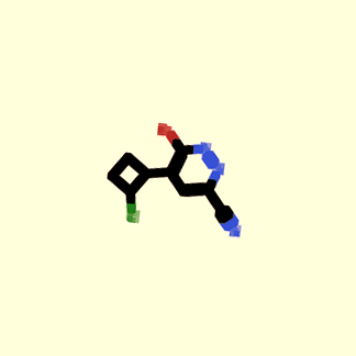 N#Cc1cc(C2CCC2Cl)c(Br)nn1